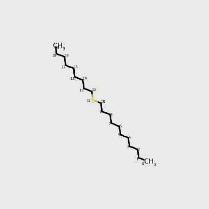 CCCCCCCCCC[CH]SCCCCCCCCC